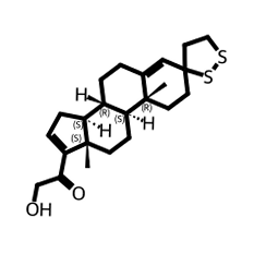 C[C@]12CCC3(C=C1CC[C@@H]1[C@@H]2CC[C@]2(C)C(C(=O)CO)=CC[C@@H]12)CCSS3